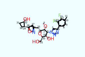 CO[C@@H]1[C@@H](n2cc(-c3ccc(C)c(F)c3F)nn2)[C@@H](O)[C@@H](CO)O[C@@H]1Cc1cc([C@H]2CC[C@@H]2O)on1